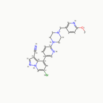 COc1ccc(CN2CCN(c3ccc(-c4cc(Br)cn5ncc(C#N)c45)cn3)CC2)cn1